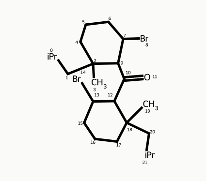 CC(C)CC1(C)CCCC(Br)C1C(=O)C1C(Br)CCCC1(C)CC(C)C